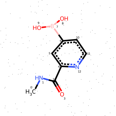 CNC(=O)c1cc(B(O)O)ccn1